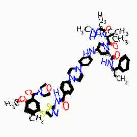 CC[C@@H](NC(=O)[C@@H]1C[C@H](NC2CCC(N3CCN(c4ccc(C(=O)Nc5ncc(Sc6cc(C(=O)N7CCOCC7)c(OC)cc6C)s5)cc4)CC3)CC2)CN1C(=O)[C@@H](NC(=O)[C@H](C)NC)C(C)(C)C)c1ccccc1